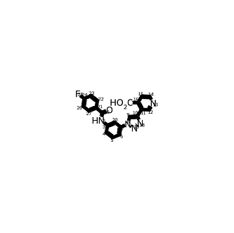 O=C(Nc1cccc(-n2cc(-c3cnccc3C(=O)O)nn2)c1)c1ccc(F)cc1